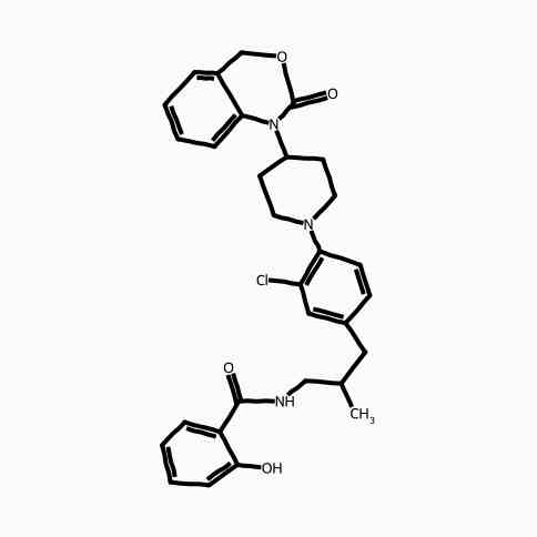 CC(CNC(=O)c1ccccc1O)Cc1ccc(N2CCC(N3C(=O)OCc4ccccc43)CC2)c(Cl)c1